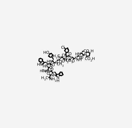 CCCC[C@H](NC(=O)[C@H](Cc1c[nH]c2ccccc12)NC(=O)[C@H](C)N)C(=O)N[C@@H](Cc1c[nH]c2ccccc12)C(=O)N[C@H](Cc1ccc(O)cc1)C(=O)N(C)CC(=O)N(C)[C@@H](C)C(=O)N(C)[C@@H](Cc1cccc(Cl)c1)C(=O)N(C)CC(=O)N(CCC)CC(=O)N[C@@H](CC(=O)O)C(=O)N1CCCC[C@H]1C(=O)O